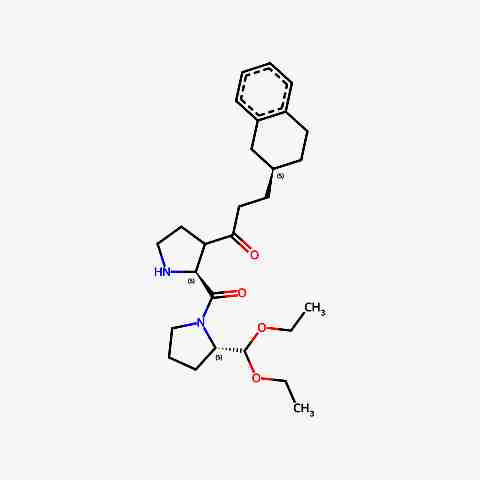 CCOC(OCC)[C@@H]1CCCN1C(=O)[C@H]1NCCC1C(=O)CC[C@@H]1CCc2ccccc2C1